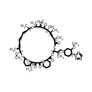 COC1C(=O)C(C)C[C@H](C)/C=C/C=C/C=C(\C)[C@@H](OC)CC2CC[C@@H](C)[C@@](O)(O2)C(=O)C(=O)N2CCCCC2C(=O)O[C@H]([C@H](C)C[C@@H]2CC[C@H](n3ncnn3)C(OC)C2)CC(=O)[C@H](C)/C=C(\C)[C@H]1O